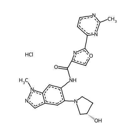 Cc1nccc(-c2nc(C(=O)Nc3cc4c(cnn4C)cc3N3CC[C@H](O)C3)co2)n1.Cl